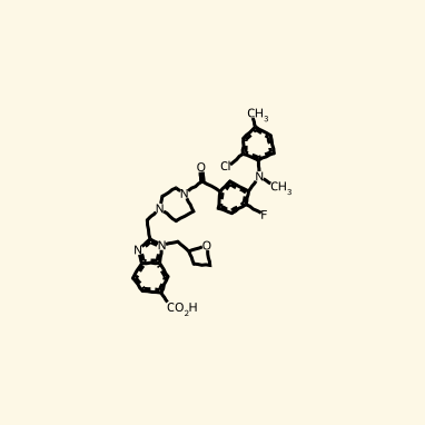 Cc1ccc(N(C)c2cc(C(=O)N3CCN(Cc4nc5ccc(C(=O)O)cc5n4CC4CCO4)CC3)ccc2F)c(Cl)c1